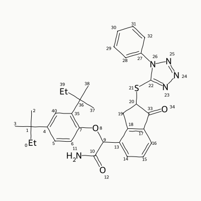 CCC(C)(C)c1ccc(OC(C(N)=O)c2cccc3c2CC(Sc2nnnn2-c2ccccc2)C3=O)c(C(C)(C)CC)c1